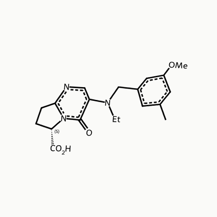 CCN(Cc1cc(C)cc(OC)c1)c1cnc2n(c1=O)[C@H](C(=O)O)CC2